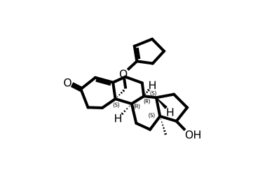 C[C@]12CC[C@@H]3[C@@H](CCC4=CC(=O)CC[C@@]43COC3=CCCC3)[C@@H]1CCC2O